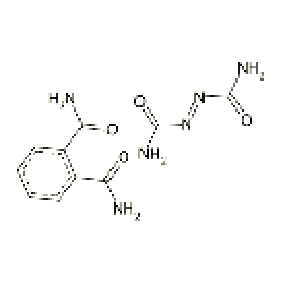 NC(=O)N=NC(N)=O.NC(=O)c1ccccc1C(N)=O